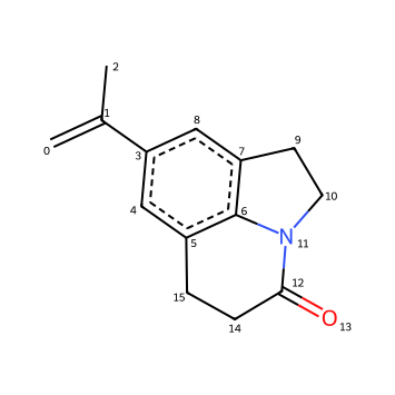 C=C(C)c1cc2c3c(c1)CCN3C(=O)CC2